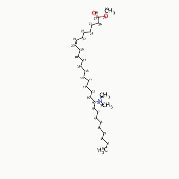 CCCCCCCCCC(CCCCCCCCCC/C=C\CCCCCC(=O)OC)N(C)C